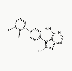 Nc1ncnc2oc(Br)c(-c3ccc(-c4cccc(F)c4F)cc3)c12